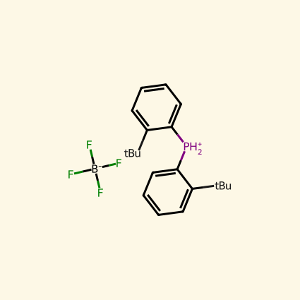 CC(C)(C)c1ccccc1[PH2+]c1ccccc1C(C)(C)C.F[B-](F)(F)F